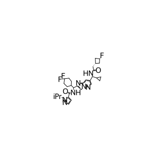 CC(C)n1nccc1C(=O)N[C@H](c1cn2ncc(C(NC(=O)C[C@H]3C[C@@H](F)C3)C3CC3)cc2n1)C1CCC(F)(F)CC1